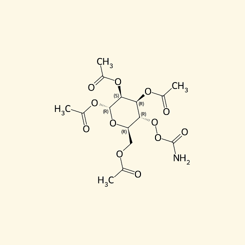 CC(=O)OC[C@H]1O[C@H](OC(C)=O)[C@@H](OC(C)=O)[C@@H](OC(C)=O)[C@@H]1OOC(N)=O